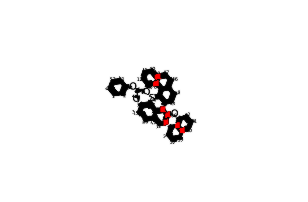 c1ccc(OP(Oc2ccccc2)Oc2ccc3ccccc3c2Sc2c(OP(Oc3ccccc3)Oc3ccccc3)ccc3ccccc23)cc1